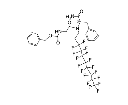 NC(=O)[C@H](Cc1ccccc1)N(CCC(F)(F)C(F)(F)C(F)(F)C(F)(F)C(F)(F)C(F)(F)C(F)(F)C(F)(F)F)C(=O)CNC(=O)OCc1ccccc1